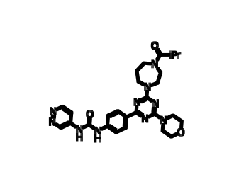 CC(C)C(=O)N1CCCN(c2nc(-c3ccc(NC(=O)Nc4ccnnc4)cc3)nc(N3CCOCC3)n2)CC1